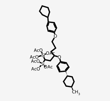 CC(=O)O[Si](OC(C)=O)(OC(C)=O)C(CC(CCCOc1ccc(C2CCCCC2)cc1)Oc1ccc([C@H]2CC[C@H](C)CC2)cc1)[Si](OC(C)=O)(OC(C)=O)OC(C)=O